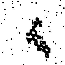 CCCC(ON=C(C1=C(O)CC(CCNS(C)(=O)=O)CC1=O)C1CC1)C(O)c1cc(Cl)ccn1